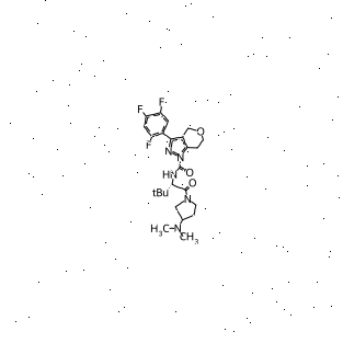 CN(C)C1CCN(C(=O)[C@@H](NC(=O)n2nc(-c3cc(F)c(F)cc3F)c3c2CCOC3)C(C)(C)C)C1